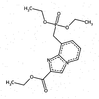 CCOC(=O)c1cn2cccc(CP(=O)(OCC)OCC)c2n1